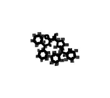 CN(C(=O)CC(c1ccccc1)c1ccccc1)C1CCN([C@H](c2ccccc2)c2ccccn2)C1